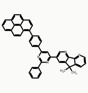 CC1(C)c2cccnc2-c2ncc(-c3cc(-c4ccc(-c5ccc6ccc7cccc8ccc5c6c78)cc4)nc(-c4ccccc4)n3)cc21